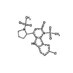 CS(=O)(=O)N1CCCC1c1cc(=O)n(S(C)(=O)=O)c2c1[nH]c1ccc(Cl)cc12